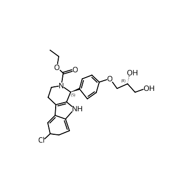 CCOC(=O)N1CCc2c([nH]c3c2=CC(Cl)CC=3)[C@@H]1c1ccc(OC[C@H](O)CO)cc1